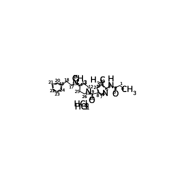 CCC(=O)Nc1ncc(C(=O)N2CCC(N(C)CCc3ccccc3)CC2)cc1C.Cl.Cl